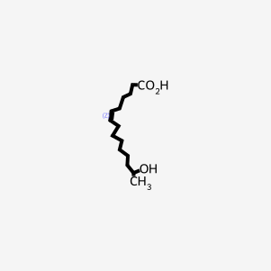 CC(O)CCCCCC/C=C\CCCCC(=O)O